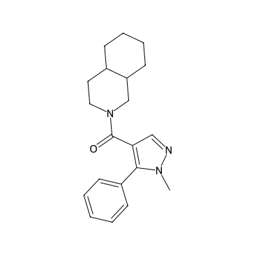 Cn1ncc(C(=O)N2CCC3CCCCC3C2)c1-c1ccccc1